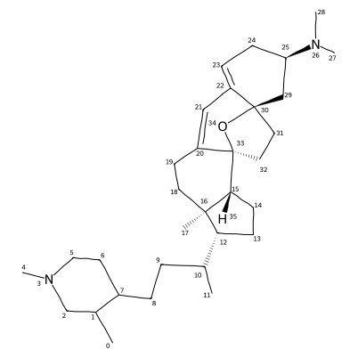 CC1CN(C)CCC1CCC(C)[C@H]1CC[C@@H]2[C@]1(C)CCC1=CC3=CC[C@@H](N(C)C)C[C@]34CC[C@@]12O4